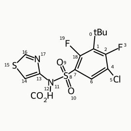 CC(C)(C)c1c(F)c(Cl)cc(S(=O)(=O)N(C(=O)O)c2cscn2)c1F